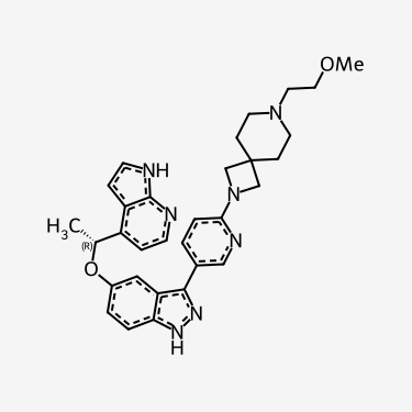 COCCN1CCC2(CC1)CN(c1ccc(-c3n[nH]c4ccc(O[C@H](C)c5ccnc6[nH]ccc56)cc34)cn1)C2